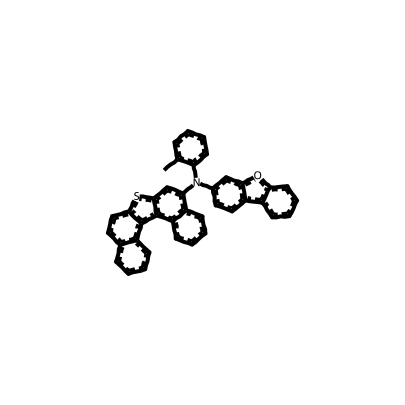 Cc1ccccc1N(c1ccc2c(c1)oc1ccccc12)c1cc2sc3ccc4ccccc4c3c2c2ccccc12